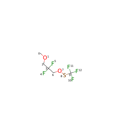 COCC(F)(F)COSC(F)(F)F